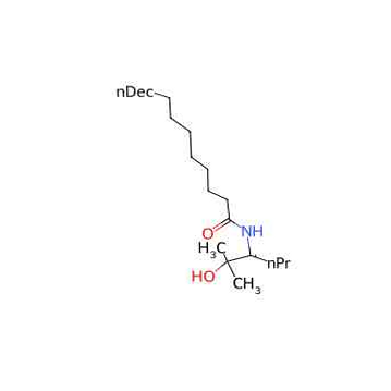 CCCCCCCCCCCCCCCCCC(=O)N[C](CCC)C(C)(C)O